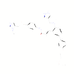 CCCCOCCOc1ccc(-c2ccc(N(C)Cc3cnn(C)c3)c(/C=C(\C)C(=O)Nc3ccc([S+]([O-])Cc4cncn4CCC)cc3)c2)cc1